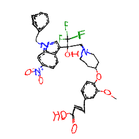 COc1cc(C=CC(=O)O)ccc1OC1CCN(CC(O)(c2cn(Cc3ccccc3)c3cc([N+](=O)[O-])ccc23)C(F)(F)F)CC1